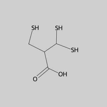 O=C(O)C(CS)C(S)S